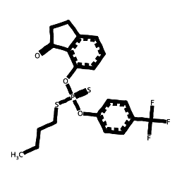 CCCCSP(=S)(Oc1ccc(C(F)(F)F)cc1)Oc1cccc2c1C(=O)CC2